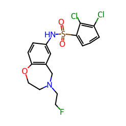 O=S(=O)(Nc1ccc2c(c1)CN(CCF)CCO2)c1cccc(Cl)c1Cl